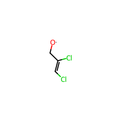 [O]CC(Cl)=CCl